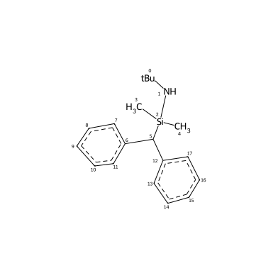 CC(C)(C)N[Si](C)(C)C(c1ccccc1)c1ccccc1